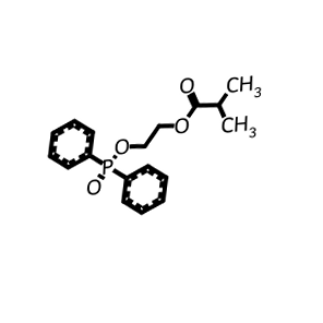 CC(C)C(=O)OCCOP(=O)(c1ccccc1)c1ccccc1